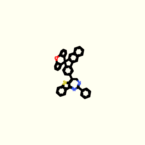 c1ccc(C2=NCC(c3ccc4c(c3)-c3cc5ccccc5cc3C43c4ccccc4Oc4ccccc43)=c3sc4ccccc4c3=N2)cc1